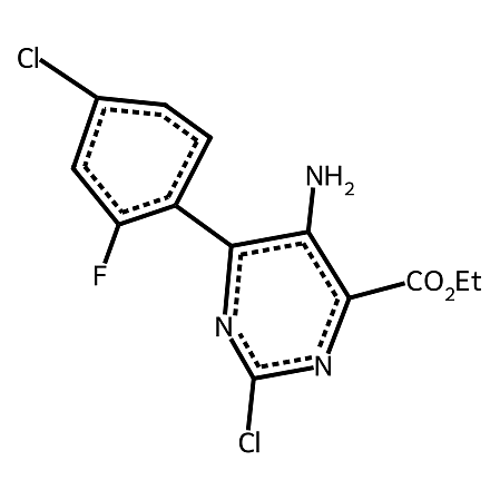 CCOC(=O)c1nc(Cl)nc(-c2ccc(Cl)cc2F)c1N